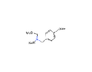 CNN(COC)Cc1ccc(OC)cc1